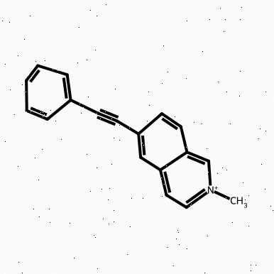 C[n+]1ccc2cc(C#Cc3ccccc3)ccc2c1